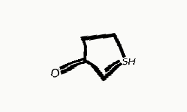 O=C1C=[SH]CC1